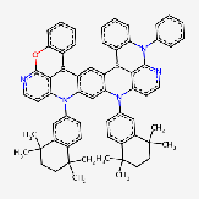 CC1(C)CCC(C)(C)c2cc(N3c4cc5c(cc4B4c6ccccc6Oc6nccc3c64)B3c4ccccc4N(c4ccccc4)c4nccc(c43)N5c3ccc4c(c3)C(C)(C)CCC4(C)C)ccc21